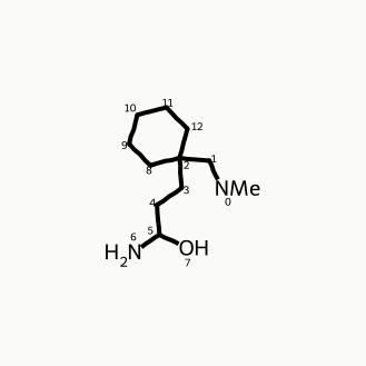 CNCC1(CCC(N)O)CCCCC1